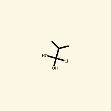 CC(C)C(O)(O)Cl